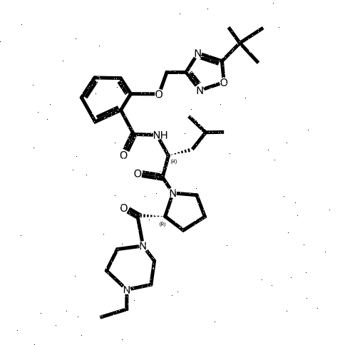 CCN1CCN(C(=O)[C@H]2CCCN2C(=O)[C@@H](CC(C)C)NC(=O)c2ccccc2OCc2noc(C(C)(C)C)n2)CC1